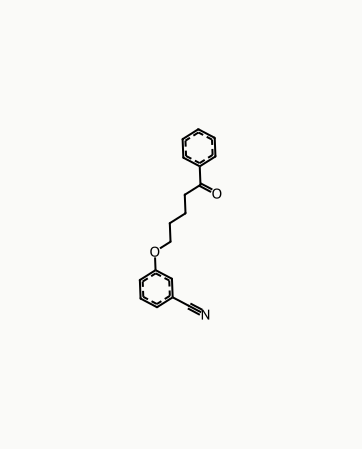 N#Cc1cccc(OCCCCC(=O)c2ccccc2)c1